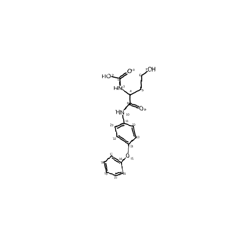 O=C(O)NC(CCO)C(=O)Nc1ccc(Oc2ccccc2)cc1